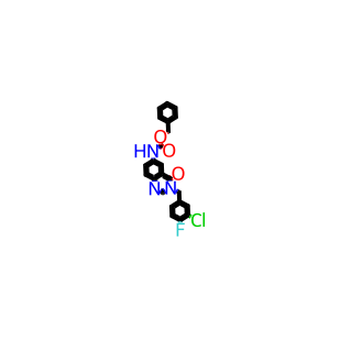 O=C(Nc1ccc2ncn(Cc3ccc(F)c(Cl)c3)c(=O)c2c1)OCc1ccccc1